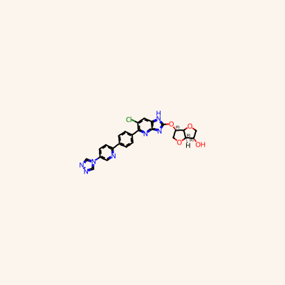 O[C@@H]1COC2[C@H](Oc3nc4nc(-c5ccc(-c6ccc(-n7cnnc7)cn6)cc5)c(Cl)cc4[nH]3)CO[C@@H]21